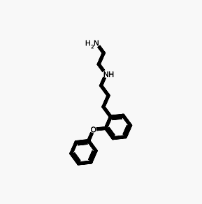 NCCNCCCc1ccccc1Oc1ccccc1